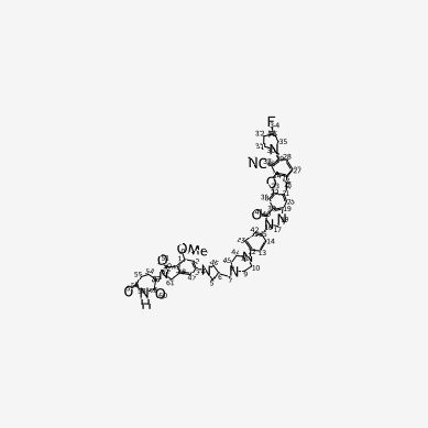 COc1cc(N2CC(CN3CCN(c4ccc(-n5cnc6ccc(Oc7c(F)ccc(N8CC[C@@H](F)C8)c7C#N)cc6c5=O)cc4)CC3)C2)cc2c1C(=O)N([C@H]1CCC(=O)NC1=O)C2